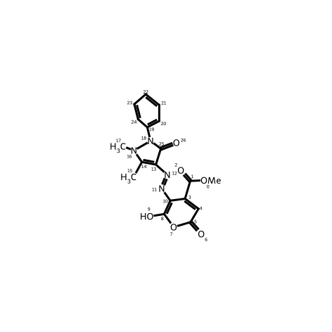 COC(=O)c1cc(=O)oc(O)c1N=Nc1c(C)n(C)n(-c2ccccc2)c1=O